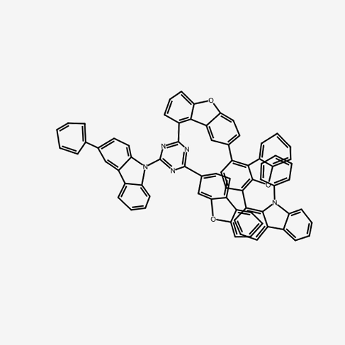 c1ccc(-c2ccc3c(c2)c2ccccc2n3-c2nc(-c3ccc4c(c3)oc3ccccc34)nc(-c3cccc4oc5ccc(-c6ccc(-c7cccc8c9ccccc9n(-c9ccccc9)c78)c7oc8ccccc8c67)cc5c34)n2)cc1